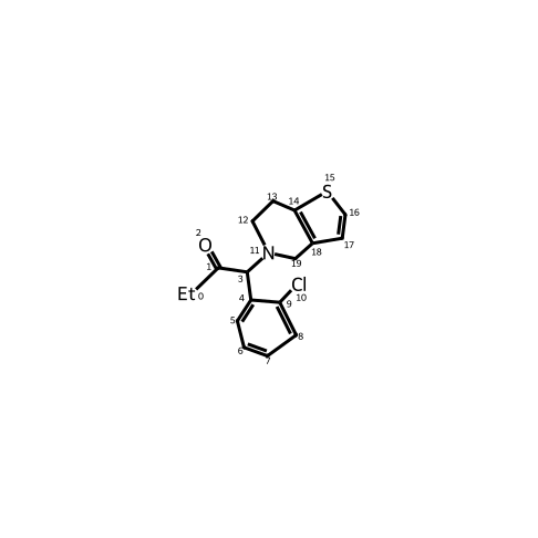 CCC(=O)C(c1ccccc1Cl)N1CCc2sccc2C1